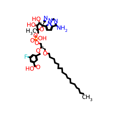 CCCCCCCCCCCCCCCCCCOC[C@H](COP(=O)(O)OCC1(C)O[C@@](C#N)(c2ccc3c(N)ncnn23)[C@H](O)[C@@H]1O)OCc1cc(F)cc(C(=O)O)c1